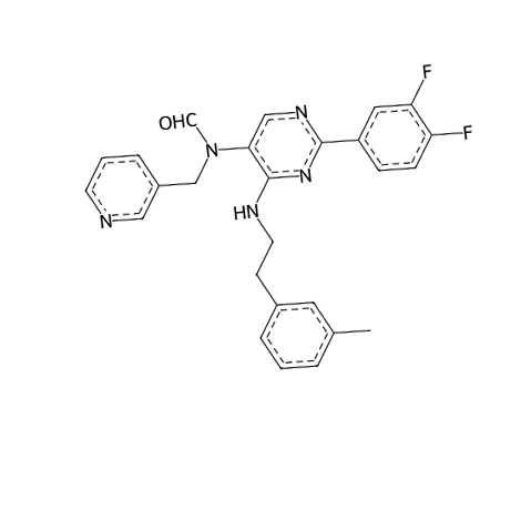 Cc1cccc(CCNc2nc(-c3ccc(F)c(F)c3)ncc2N(C=O)Cc2cccnc2)c1